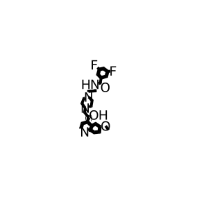 COc1ccc2nccc([C@H](O)CN3CCN(CCNC(=O)c4cc(F)cc(F)c4)CC3)c2c1